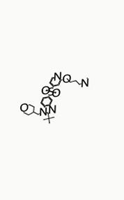 CN(C)CCCOc1cc(S(=O)(=O)c2ccc3c(c2)nc(C(C)(C)C)n3CC2CCOCC2)ccn1